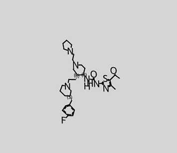 CC(=O)c1sc(NC(=O)N[C@@H]2CCN(CCN3CCCC3)C[C@H]2CCN2CCC[C@@H](Cc3ccc(F)cc3)C2)nc1C